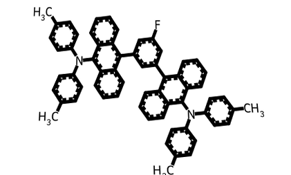 Cc1ccc(N(c2ccc(C)cc2)c2c3ccccc3c(-c3cc(F)cc(-c4c5ccccc5c(N(c5ccc(C)cc5)c5ccc(C)cc5)c5ccccc45)c3)c3ccccc23)cc1